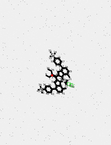 CCCCC1=Cc2c(-c3ccc([Si](C)(C)C)cc3)ccc(C)c2[CH]1[Zr+2]1([CH]2C(CCCC)=Cc3c(-c4ccc([Si](C)(C)C)cc4)ccc(C)c32)[CH2][CH2]1.[Cl-].[Cl-]